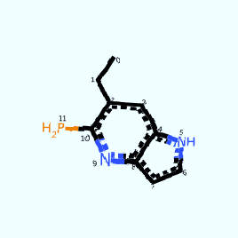 CCc1cc2[nH]ccc2nc1P